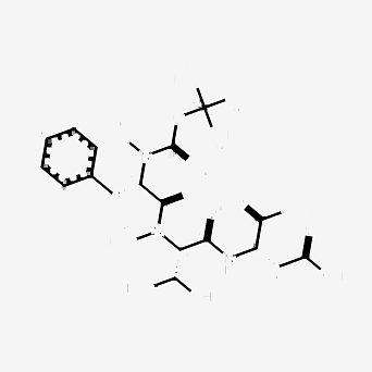 CC(C)[C@@H](C(=O)N[C@@H](CC(=O)O)C(=O)O)N(C)C(=O)[C@H](Cc1ccccc1)N(C)C(=O)OC(C)(C)C